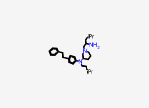 CC(C)CCN(c1ccc(CCc2ccccc2)cc1)[C@H]1CCCN(CC(N)CC(C)C)C1